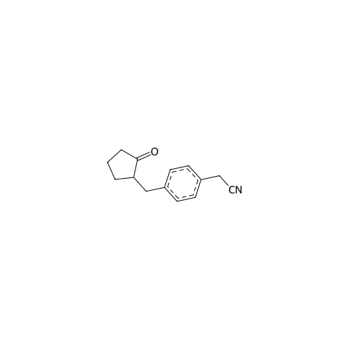 N#CCc1ccc(CC2CCCC2=O)cc1